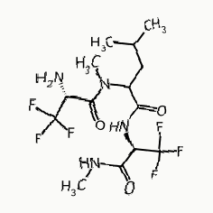 CNC(=O)[C@@H](NC(=O)C(CC(C)C)N(C)C(=O)[C@@H](N)C(F)(F)F)C(F)(F)F